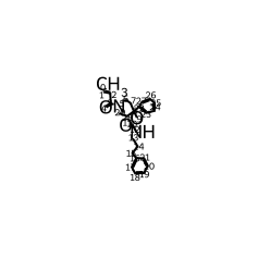 CC=CC(=O)N1CCC(OC(=O)NCCCc2ccccc2)(c2ccccc2)CC1